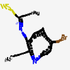 CCCC/C(S)=N\c1cc(Br)cnc1C